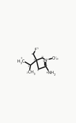 CC(C)C1(CF)CC(N)=[N+]([O-])C1